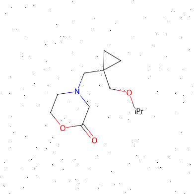 CC(C)OCC1(CN2CCOC(=O)C2)CC1